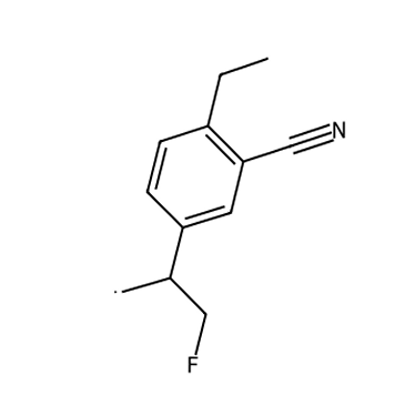 [CH2]C(CF)c1ccc(CC)c(C#N)c1